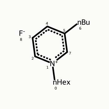 CCCCCC[n+]1cccc(CCCC)c1.[F-]